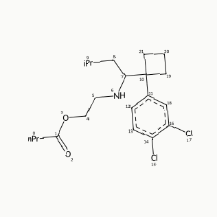 CCCC(=O)OCCNC(CC(C)C)C1(c2ccc(Cl)c(Cl)c2)CCC1